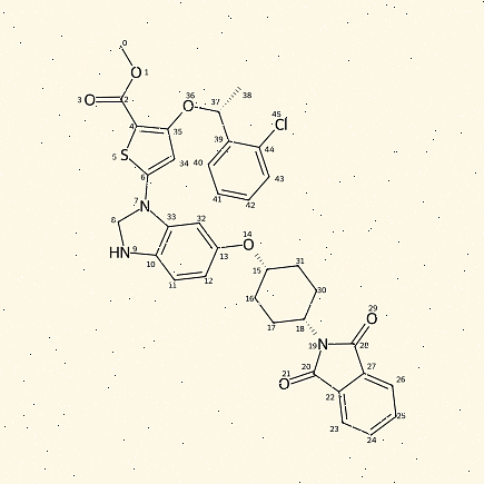 COC(=O)c1sc(N2CNc3ccc(O[C@H]4CC[C@@H](N5C(=O)c6ccccc6C5=O)CC4)cc32)cc1O[C@H](C)c1ccccc1Cl